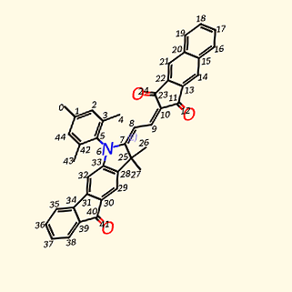 Cc1cc(C)c(N2/C(=C/C=C3C(=O)c4cc5ccccc5cc4C3=O)C(C)(C)c3cc4c(cc32)-c2ccccc2C4=O)c(C)c1